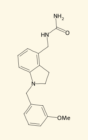 COc1cccc(CN2CCc3c(CNC(N)=O)cccc32)c1